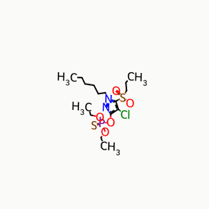 CCCCCCn1nc(OP(=S)(OCC)OCC)c(Cl)c1S(=O)(=O)CCC